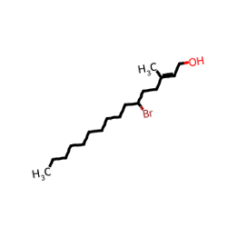 CCCCCCCCCCC(Br)CC/C(C)=C/CO